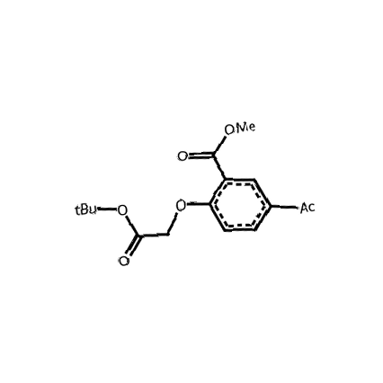 COC(=O)c1cc(C(C)=O)ccc1OCC(=O)OC(C)(C)C